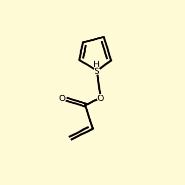 C=CC(=O)O[SH]1C=CC=C1